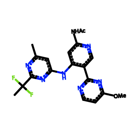 COc1ccnc(-c2cnc(NC(C)=O)cc2Nc2cc(C)nc(C(C)(F)F)n2)n1